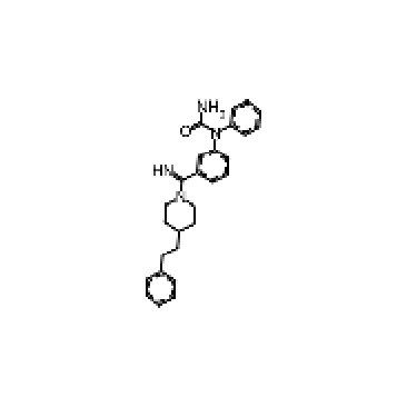 N=C(c1cccc(N(C(N)=O)c2ccccc2)c1)N1CCC(CCc2ccccc2)CC1